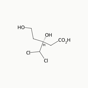 O=C(O)C[C@](O)(CCO)C(Cl)Cl